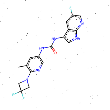 Cc1cc(NC(=O)Nc2c[nH]c3ncc(F)cc23)cnc1N1CC(F)(F)C1